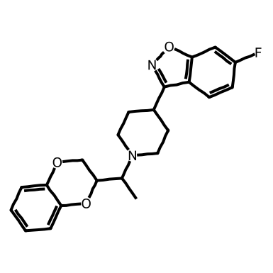 CC(C1COc2ccccc2O1)N1CCC(c2noc3cc(F)ccc23)CC1